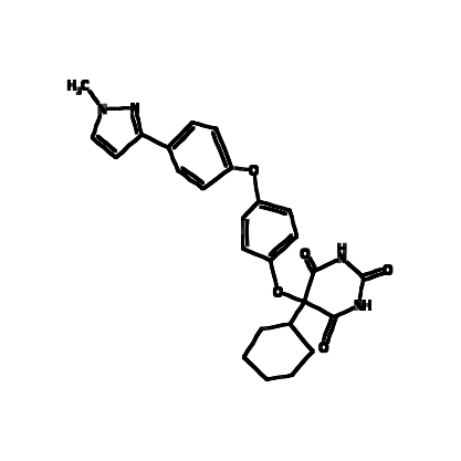 Cn1ccc(-c2ccc(Oc3ccc(OC4(C5CCCCC5)C(=O)NC(=O)NC4=O)cc3)cc2)n1